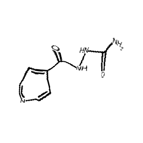 NC(=O)NNC(=O)c1ccncc1